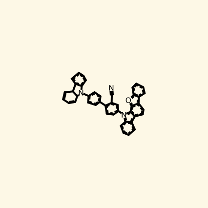 N#Cc1cc(-n2c3ccccc3c3ccc4c5ccccc5oc4c32)ccc1-c1ccc(N2c3ccccc3C3C=CC=CC32)cc1